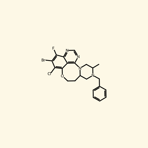 CC1CN2c3ncnc4c(F)c(Br)c(Cl)c(c34)OCCC2CN1Cc1ccccc1